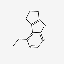 CCc1ncnc2sc3c(c12)CCC3